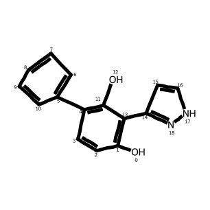 Oc1ccc(-c2ccccc2)c(O)c1-c1cc[nH]n1